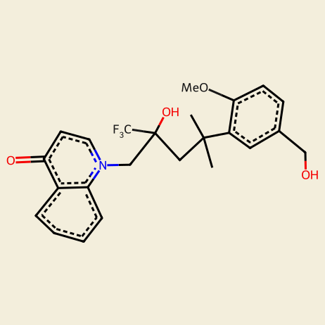 COc1ccc(CO)cc1C(C)(C)CC(O)(Cn1ccc(=O)c2ccccc21)C(F)(F)F